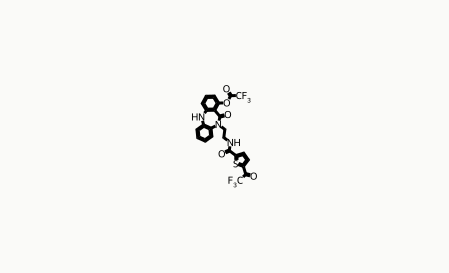 O=C(NCCN1C(=O)c2c(cccc2OC(=O)C(F)(F)F)Nc2ccccc21)c1ccc(C(=O)C(F)(F)F)s1